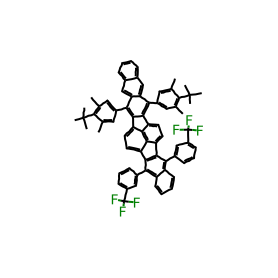 Cc1cc(-c2c3c(c(-c4cc(C)c(C(C)(C)C)c(C)c4)c4cc5ccccc5cc24)-c2ccc4c5c(ccc-3c25)-c2c-4c(-c3cccc(C(F)(F)F)c3)c3ccccc3c2-c2cccc(C(F)(F)F)c2)cc(C)c1C(C)(C)C